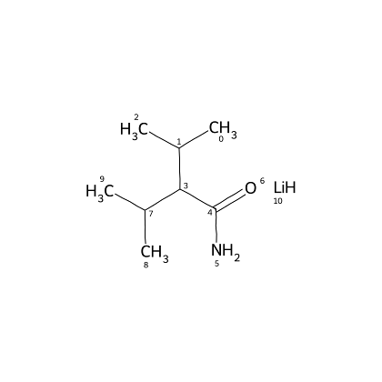 CC(C)C(C(N)=O)C(C)C.[LiH]